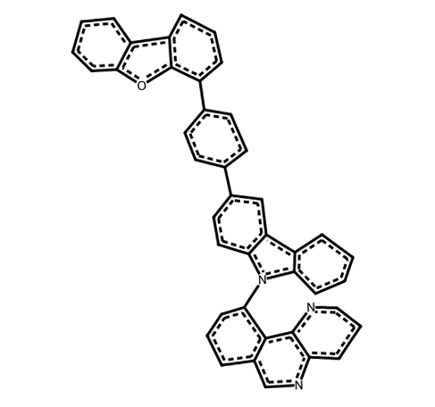 c1cc(-n2c3ccccc3c3cc(-c4ccc(-c5cccc6c5oc5ccccc56)cc4)ccc32)c2c(c1)cnc1cccnc12